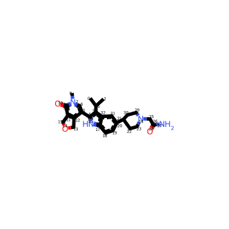 CC(C)c1c(-c2cn(C)c(=O)c3c2COC3)[nH]c2ccc(C3CCN(CC(N)=O)CC3)cc12